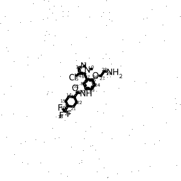 Cn1ncc(Cl)c1-c1cc(NC(=O)C2CCC(C(F)(F)F)CC2)ccc1OCCN